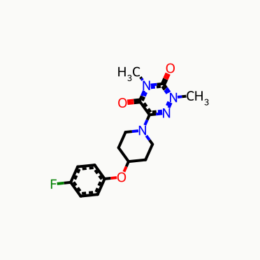 Cn1nc(N2CCC(Oc3ccc(F)cc3)CC2)c(=O)n(C)c1=O